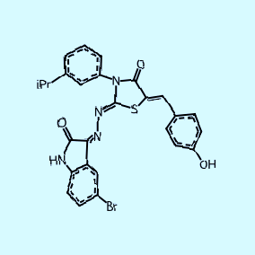 CC(C)c1cccc(N2C(=O)C(=Cc3ccc(O)cc3)SC2=NN=C2C(=O)Nc3ccc(Br)cc32)c1